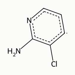 Nc1ncc[c]c1Cl